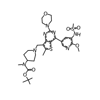 COc1ncc(-c2nc(N3CCOCC3)nc3c(CN4CCC(N(C)C(=O)OC(C)(C)C)CC4)c(C)sc23)cc1NS(C)(=O)=O